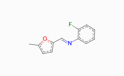 Cc1ccc(C=Nc2ccccc2F)o1